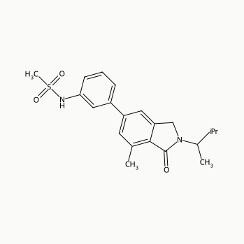 Cc1cc(-c2cccc(NS(C)(=O)=O)c2)cc2c1C(=O)N(C(C)C(C)C)C2